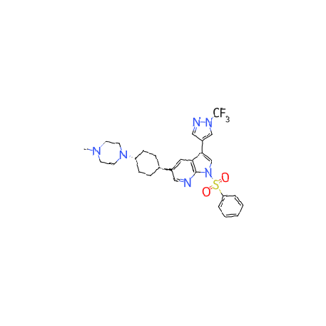 CN1CCN([C@H]2CC[C@H](c3cnc4c(c3)c(-c3cnn(C(F)(F)F)c3)cn4S(=O)(=O)c3ccccc3)CC2)CC1